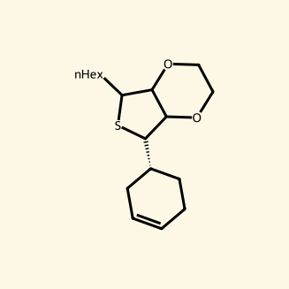 CCCCCCC1SC([C@H]2CC=CCC2)C2OCCOC12